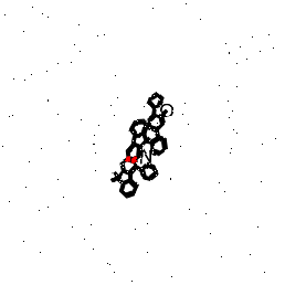 CC1(C)c2ccccc2-c2c(-c3ccccc3N3c4cccc(-c5ccc6c(c5)oc5ccccc56)c4C4(C)c5ccccc5-c5cccc3c54)cccc21